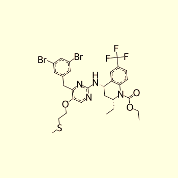 CCOC(=O)N1c2ccc(C(F)(F)F)cc2[C@@H](Nc2ncc(OCCSC)c(Cc3cc(Br)cc(Br)c3)n2)C[C@H]1CC